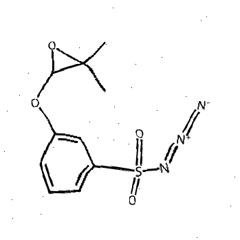 CC1(C)OC1Oc1cccc(S(=O)(=O)N=[N+]=[N-])c1